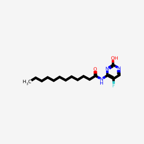 CCCCCCCCCCCC(=O)Nc1nc(O)ncc1F